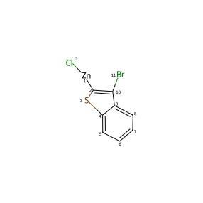 [Cl][Zn][c]1sc2ccccc2c1Br